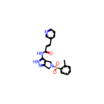 Cc1ccccc1S(=O)(=O)N1Cc2n[nH]c(NC(=O)C=Cc3cccnc3)c2C1